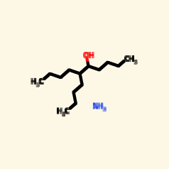 CCCCC(O)C(CCCC)CCCC.N